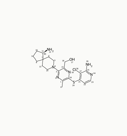 Cc1nc(N2CCC3(CCC[C@H]3N)CC2)c(CO)nc1Sc1ccnc(N)c1Cl